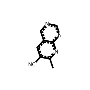 Cc1nc2ncncc2cc1C#N